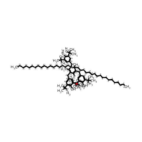 CCCCCCCCCCCCCCCCCCC1(C)C(Cc2cc(C(C)(C)C)c(O)c(C(C)(C)C)c2)=C(C)C(Cc2cc(C(C)(C)C)c(O)c(C(C)(C)C)c2)=C(C)C1(CCCCCCCCCCCCCCCCCC)Cc1cc(C(C)(C)C)c(O)c(C(C)(C)C)c1